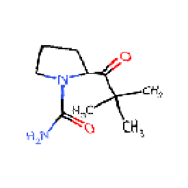 CC(C)(C)C(=O)[C@@H]1CCCN1C(N)=O